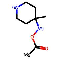 CC1(NOC(=O)C(C)(C)C)CCNCC1